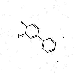 C[C@H]1C=CC(c2ccccc2)=CC1I